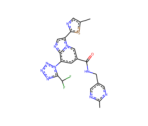 Cc1ncc(CNC(=O)c2cc(-n3nnnc3C(F)F)c3ncc(-c4ncc(C)s4)n3c2)cn1